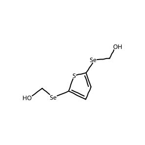 OC[Se]c1ccc([Se]CO)s1